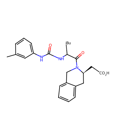 CCC(C)C(NC(=O)Nc1cccc(C)c1)C(=O)N1Cc2ccccc2C[C@@H]1CC(=O)O